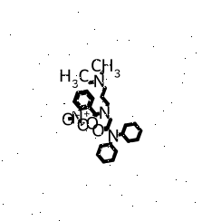 CCN(CC)CCCN(CC(=O)N(C1CCCCC1)C1CCCCC1)C(=O)c1ccccc1[N+](=O)[O-]